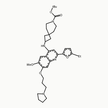 CCc1ccc(-c2cc(NC3CC4(CCN(C(=O)OC(C)(C)C)CC4)C3)c3cc(OC)c(OCCCN4CCCC4)cc3n2)o1